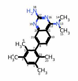 Cc1cc(C)c(C)c(-c2ccc3c(N(C)C)nc(N)nc3c2)c1C